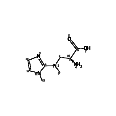 CN(C[C@H](N)C(=O)O)c1nccn1C